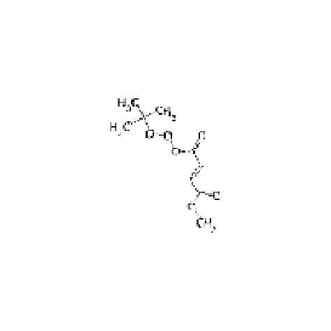 COC(=O)C=CC(=O)OOOC(C)(C)C